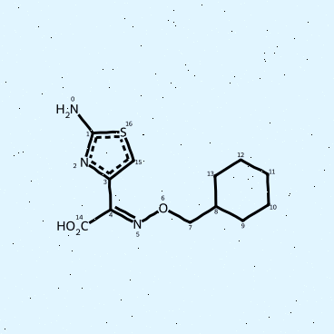 Nc1nc(C(=NOCC2CCCCC2)C(=O)O)cs1